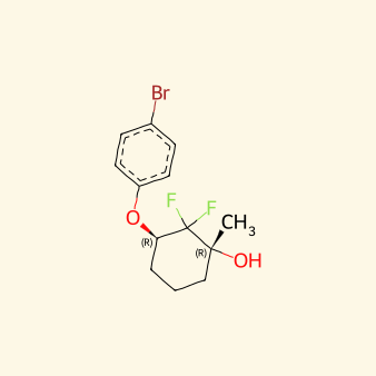 C[C@@]1(O)CCC[C@@H](Oc2ccc(Br)cc2)C1(F)F